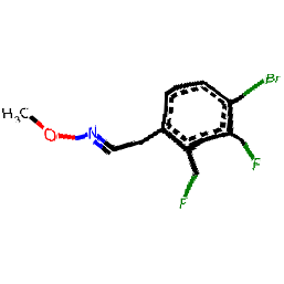 CO/N=C/c1ccc(Br)c(F)c1F